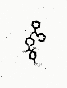 CCCC(N1CCC(OC(c2ccccc2)c2ccccc2)CC1)C1([N+](=O)[O-])C=CC(C(=O)O)C=C1